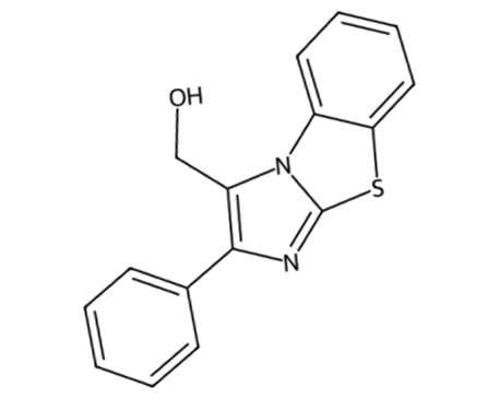 OCc1c(-c2ccccc2)nc2sc3ccccc3n12